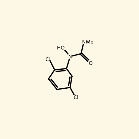 CNC(=O)N(O)c1cc(Cl)ccc1Cl